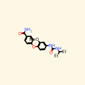 CCC(CC)NC(=O)Nc1ccc(Oc2ccc(C(N)=O)cc2)c(OC)c1